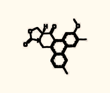 COc1cc2c3c(c4ccc(C)cc4c2cc1C)CN1C(=O)OC[C@@H]1C3=O